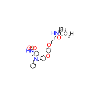 CCC(C)[C@H](NC(=O)CCCCOc1ccc(Oc2ccc(CN(Cc3ccccc3)c3cccc(NS(C)(=O)=O)c3C)cc2)cc1)C(=O)O